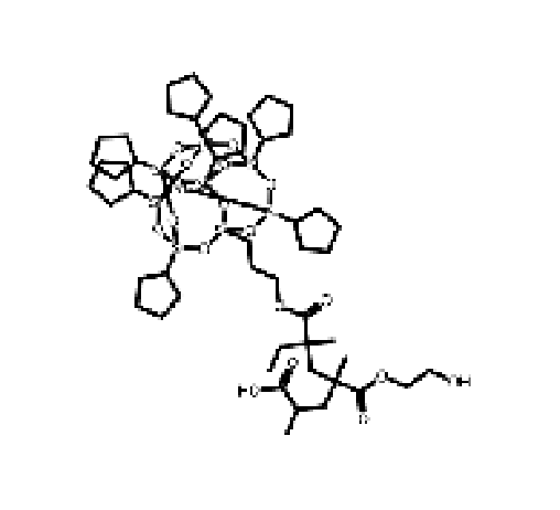 CCC(C)(CC(C)(CC(C)C(=O)O)C(=O)OCCO)C(=O)OCCC[Si]12O[Si]3(C4CCCC4)O[Si]4(C5CCCC5)O[Si](C5CCCC5)(O1)O[Si]1(C5CCCC5)O[Si](C5CCCC5)(O2)O[Si](C2CCCC2)(O3)O[Si](C2CCCC2)(O4)O1